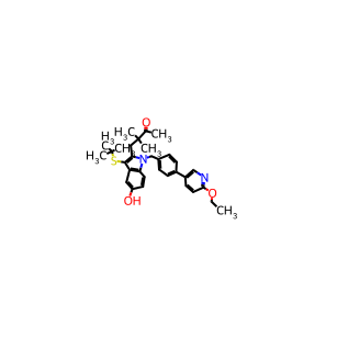 CCOc1ccc(-c2ccc(Cn3c(CC(C)(C)C(C)=O)c(SC(C)(C)C)c4cc(O)ccc43)cc2)cn1